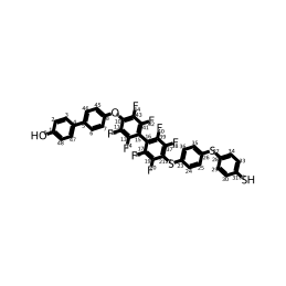 Oc1ccc(-c2ccc(Oc3c(F)c(F)c(-c4c(F)c(F)c(Sc5ccc(Sc6ccc(S)cc6)cc5)c(F)c4F)c(F)c3F)cc2)cc1